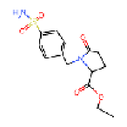 CCOC(=O)C1CCC(=O)N1Cc1ccc(S(N)(=O)=O)cc1